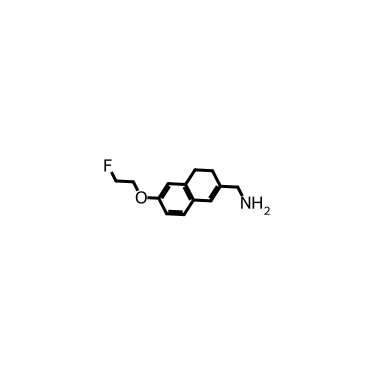 NCC1=Cc2ccc(OCCF)cc2CC1